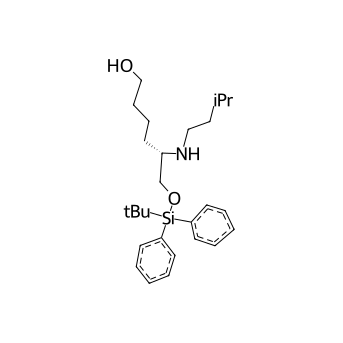 CC(C)CCN[C@@H](CCCCO)CO[Si](c1ccccc1)(c1ccccc1)C(C)(C)C